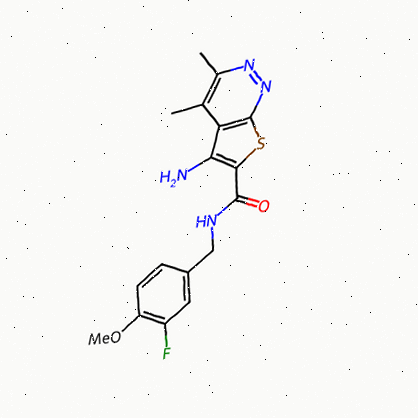 COc1ccc(CNC(=O)c2sc3nnc(C)c(C)c3c2N)cc1F